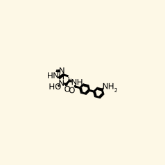 Nc1cccc(-c2ccc(C(=O)N[C@@H](Cc3c[nH]cn3)C(=O)NO)cc2)c1